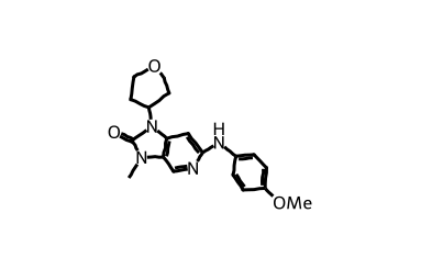 COc1ccc(Nc2cc3c(cn2)n(C)c(=O)n3C2CCOCC2)cc1